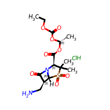 CCOC(=O)O[C@H](C)OC(=O)[C@@H]1N2C(=O)[C@H](CN)[C@H]2S(=O)(=O)C1(C)C.Cl